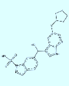 CCCS(=O)(=O)n1ccc2ccc(C(O)c3c[nH]c4ncc(OC5CCCC5)cc34)cc21